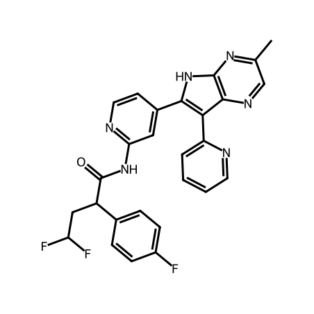 Cc1cnc2c(-c3ccccn3)c(-c3ccnc(NC(=O)C(CC(F)F)c4ccc(F)cc4)c3)[nH]c2n1